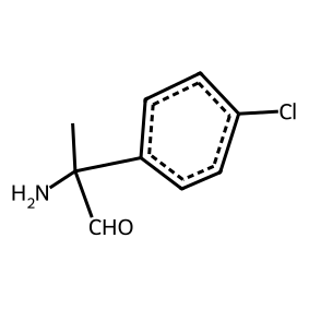 CC(N)(C=O)c1ccc(Cl)cc1